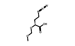 COCO[C@@H](CCN=[N+]=[N-])C(=O)O